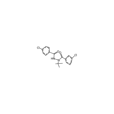 CC(C)(C)N(NC(=O)c1ccc(Cl)cc1)C(=O)c1cccc(Cl)c1